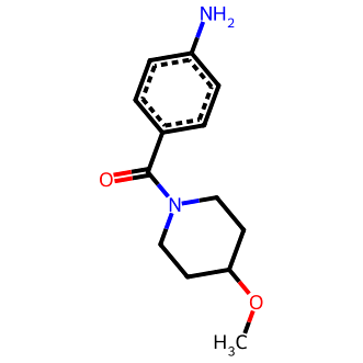 COC1CCN(C(=O)c2ccc(N)cc2)CC1